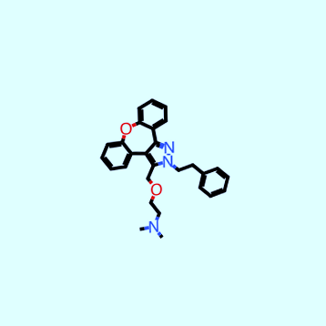 CN(C)CCOCc1c2c(nn1CCc1ccccc1)-c1ccccc1Oc1ccccc1-2